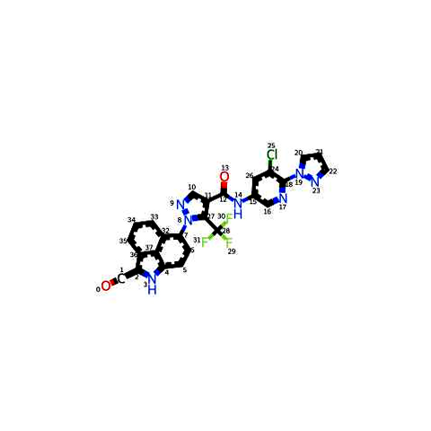 O=C=c1[nH]c2ccc(-n3ncc(C(=O)Nc4cnc(-n5cccn5)c(Cl)c4)c3C(F)(F)F)c3cccc1c23